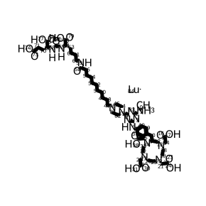 CNc1nc(Nc2ccc(CC3CN(CC(=O)O)CCN(CC(=O)O)CCN(CC(=O)O)CCN3CC(=O)O)cc2)nc(N2CCN(CCCCCCCCCCC(=O)NCCCC[C@H](NC(=O)N[C@@H](CCC(=O)O)C(=O)O)C(=O)O)CC2)n1.[Lu]